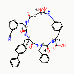 N#Cc1cccc(C[C@H]2NC(=O)C[C@@H](O)C(=O)Nc3ccc(cc3)C[C@@H](C(=O)O)NC(=O)[C@@H](Cc3ccccc3)NC(=O)[C@H](Cc3ccc(-c4ccccc4)cc3)NC2=O)c1